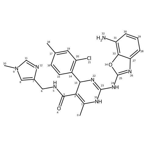 CC1=C(C(=O)NCc2cn(C)cn2)C(c2ccc(C)cc2Cl)N=C(Nc2nc3cccc(N)c3o2)N1